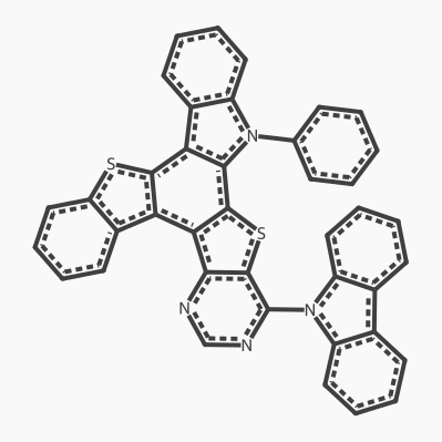 c1ccc(-n2c3ccccc3c3c4sc5ccccc5c4c4c5ncnc(-n6c7ccccc7c7ccccc76)c5sc4c32)cc1